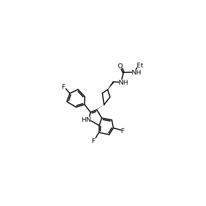 CCNC(=O)NC[C@H]1C[C@H](c2c(-c3ccc(F)cc3)[nH]c3c(F)cc(F)cc32)C1